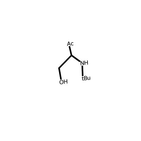 CC(=O)C(CO)NC(C)(C)C